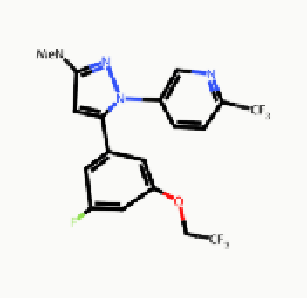 CNc1cc(-c2cc(F)cc(OCC(F)(F)F)c2)n(-c2ccc(C(F)(F)F)nc2)n1